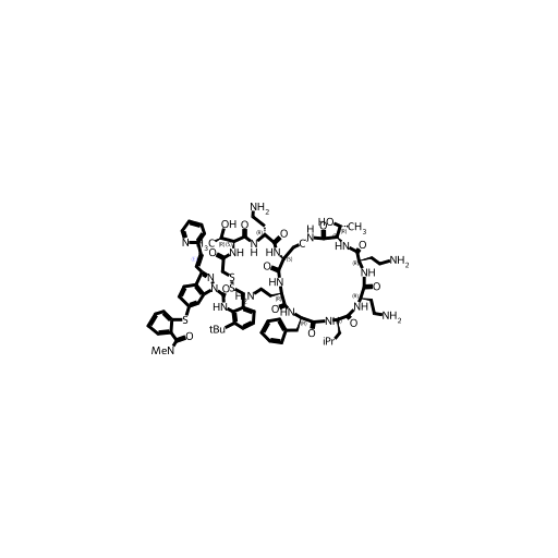 CNC(=O)c1ccccc1Sc1ccc2c(/C=C/c3ccccn3)nn(C(=O)Nc3c(CSSCC(=O)N[C@H](C(=O)N[C@H](CCN)C(=O)N[C@H]4CCNC(=O)[C@@H]([C@@H](C)O)NC(=O)[C@@H](CCN)NC(=O)[C@@H](CCN)NC(=O)[C@@H](CC(C)C)NC(=O)[C@@H](Cc5ccccc5)NC(=O)[C@@H](CCN)NC4=O)[C@@H](C)O)cccc3C(C)(C)C)c2c1